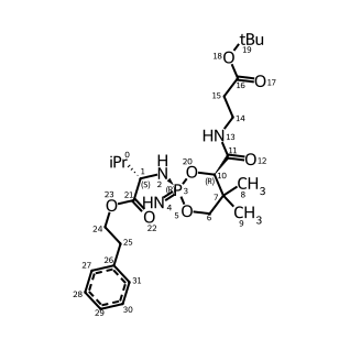 CC(C)[C@H](N[P@]1(=N)OCC(C)(C)[C@H](C(=O)NCCC(=O)OC(C)(C)C)O1)C(=O)OCCc1ccccc1